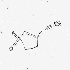 C#CC1=CS(=O)(=O)CC1